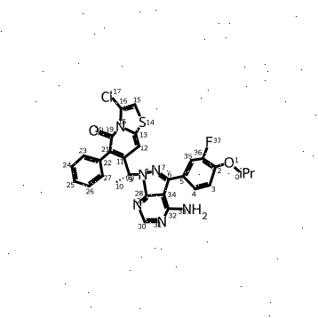 CC(C)Oc1ccc(-c2nn([C@H](C)c3cc4scc(Cl)n4c(=O)c3-c3ccccc3)c3ncnc(N)c23)cc1F